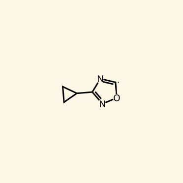 [c]1nc(C2CC2)no1